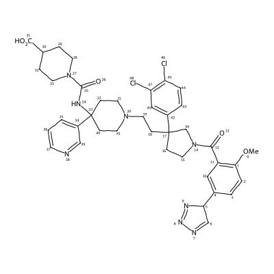 COc1ccc(C2C=NN=N2)cc1C(=O)N1CCC(CCN2CCC(NC(=O)N3CCC(C(=O)O)CC3)(c3cccnc3)CC2)(c2ccc(Cl)c(Cl)c2)C1